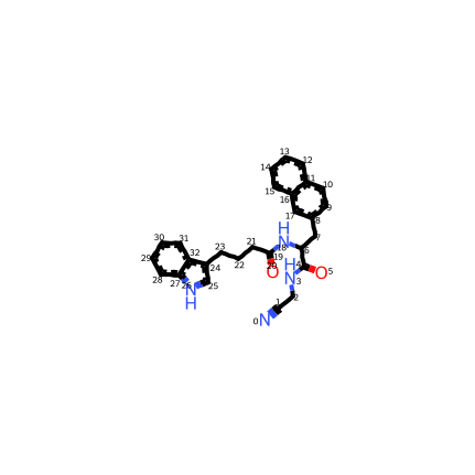 N#CCNC(=O)C(Cc1ccc2ccccc2c1)NC(=O)CCCc1c[nH]c2ccccc12